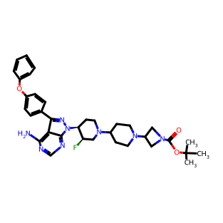 CC(C)(C)OC(=O)N1CC(N2CCC(N3CC[C@H](n4nc(-c5ccc(Oc6ccccc6)cc5)c5c(N)ncnc54)[C@H](F)C3)CC2)C1